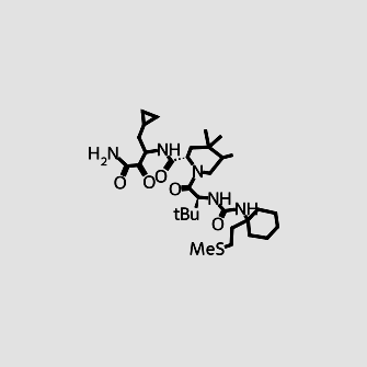 CSCCC1(NC(=O)N[C@H](C(=O)N2CC(C)C(C)(C)C[C@H]2C(=O)NC(CC2CC2)C(=O)C(N)=O)C(C)(C)C)CCCCC1